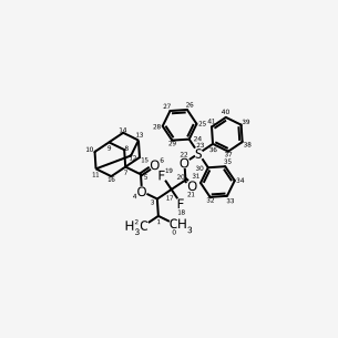 CC(C)C(OC(=O)C12CC3CC(CC(C3)C1)C2)C(F)(F)C(=O)OS(c1ccccc1)(c1ccccc1)c1ccccc1